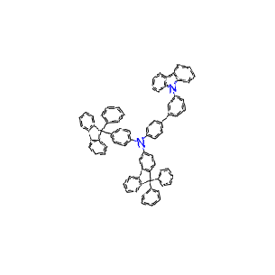 c1ccc(C2(c3ccc(N(c4ccc(-c5cccc(-n6c7ccccc7c7ccccc76)c5)cc4)c4ccc5c(c4)-c4ccccc4C5(c4ccccc4)c4ccccc4)cc3)c3ccccc3-c3ccccc32)cc1